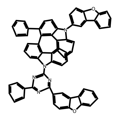 c1ccc(-c2nc(-c3ccc4oc5ccccc5c4c3)nc(-n3c4ccccc4c4c(-c5c(-c6ccccc6)ccc6c5c5ccccc5n6-c5ccc6oc7ccccc7c6c5)cccc43)n2)cc1